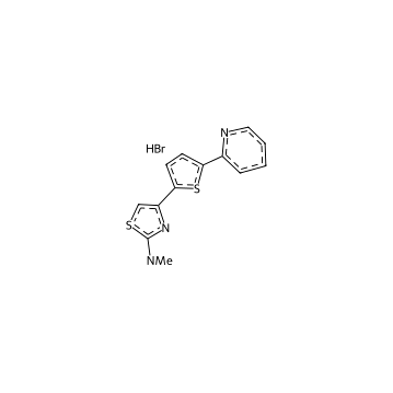 Br.CNc1nc(-c2ccc(-c3ccccn3)s2)cs1